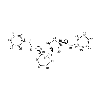 c1ccc(CCO[C@@H]2CCCC[C@H]2N2CC[C@@H](OCc3ccccc3)C2)cc1